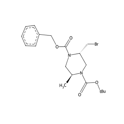 C[C@H]1CN(C(=O)OCc2ccccc2)[C@H](CBr)CN1C(=O)OC(C)(C)C